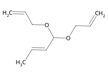 C=CCOC(C=CC)OCC=C